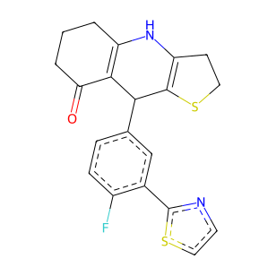 O=C1CCCC2=C1C(c1ccc(F)c(-c3nccs3)c1)C1=C(CCS1)N2